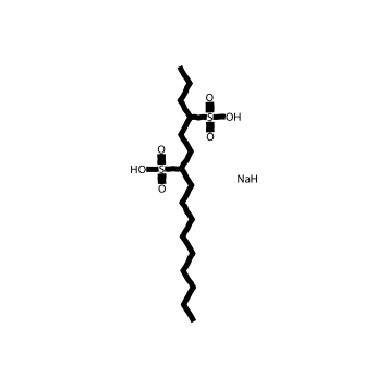 CCCCCCCCCC(CCC(CCC)S(=O)(=O)O)S(=O)(=O)O.[NaH]